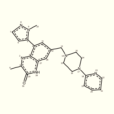 Cc1nc2c(-c3ccnn3C)cc(CN3CCN(c4ccccn4)CC3)cc2[nH]c1=O